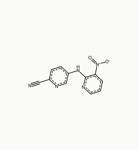 N#Cc1ccc(Nc2ncccc2[N+](=O)[O-])cn1